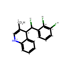 O=C(O)C1=CNc2ccccc2C1C(F)c1cccc(F)c1F